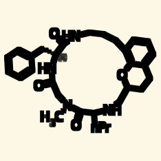 CCCC1NCC2CCc3cccc(c3O2)CCCNC(=O)[C@@H](Cc2ccccc2)NC(=O)CN(C)C1=O